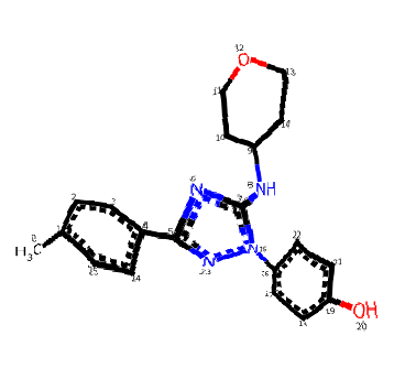 Cc1ccc(-c2nc(NC3CCOCC3)n(-c3ccc(O)cc3)n2)cc1